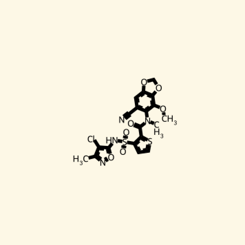 COc1c2c(cc(C#N)c1N(C)C(=O)c1sccc1S(=O)(=O)Nc1onc(C)c1Cl)OCO2